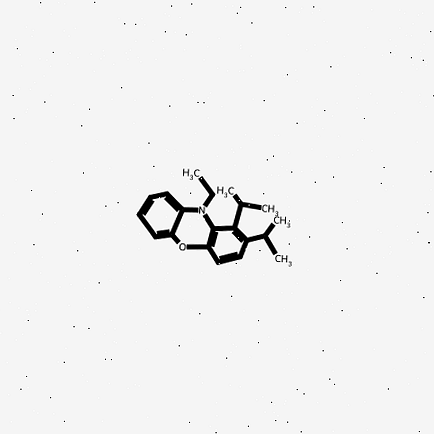 CCN1c2ccccc2Oc2ccc(C(C)C)c(C(C)C)c21